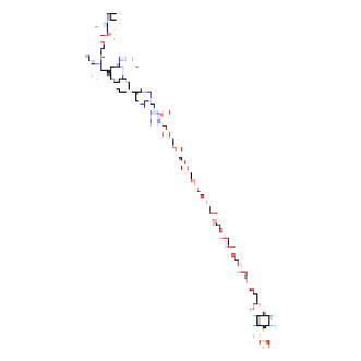 CCCN(CCCOC(=O)NC1CCC1)C(=O)C1=Cc2ccc(-c3cnc(CNC(=O)CCOCCOCCOCCOCCOCCOCCOCCOCCOCCOCCC(=O)Oc4c(F)c(F)c(S(=O)(=O)O)c(F)c4F)nc3)cc2N=C(N)C1